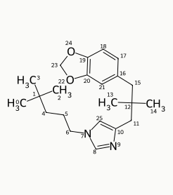 CC(C)(C)CCCn1cnc(CC(C)(C)Cc2ccc3c(c2)OCO3)c1